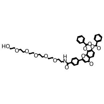 O=C(NCCOCCOCCOCCOCCOCCO)c1ccc(-c2cc(=O)c3ccc(OC(=O)c4ccccc4)c(OC(=O)c4ccccc4)c3o2)cc1